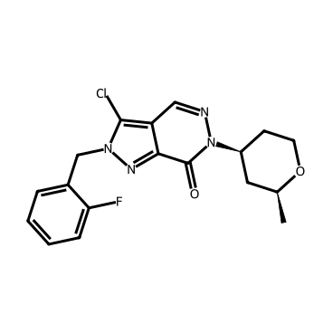 C[C@H]1C[C@@H](n2ncc3c(Cl)n(Cc4ccccc4F)nc3c2=O)CCO1